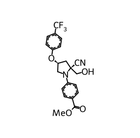 COC(=O)c1ccc(N2C[C@@H](Oc3ccc(C(F)(F)F)cc3)C[C@]2(C#N)CO)cc1